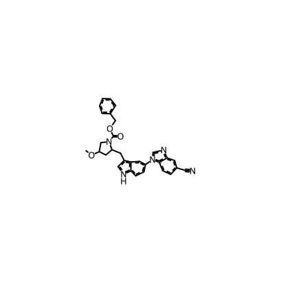 COC1CC(Cc2c[nH]c3ccc(-n4cnc5cc(C#N)ccc54)cc23)N(C(=O)OCc2ccccc2)C1